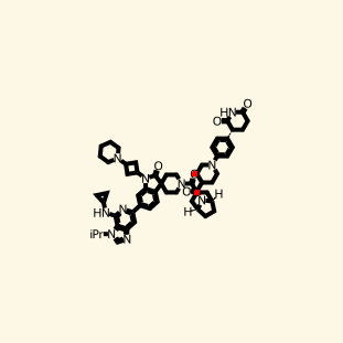 CC(C)n1cnc2cc(-c3ccc4c(c3)N(C3CC(N5CCCCC5)C3)C(=O)C43CCN(C(=O)C4C[C@H]5CC[C@@H](C4)N5C(=O)C4CCN(c5ccc([C@H]6CCC(=O)NC6=O)cc5)CC4)CC3)nc(NC3CC3)c21